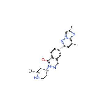 CC[C@@H]1C[C@@H](n2ncc3cc(-c4cc(C)c5nc(C)cn5n4)ccc3c2=O)CCN1